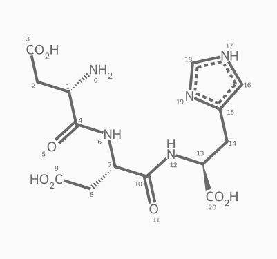 N[C@@H](CC(=O)O)C(=O)N[C@@H](CC(=O)O)C(=O)N[C@@H](Cc1c[nH]cn1)C(=O)O